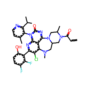 C=CC(=O)N1CC2CN(C)c3c(Cl)c(-c4c(O)ccc(F)c4F)nc4c3c(nc(=O)n4-c3c(C)ccnc3C(C)C)N2CC1C